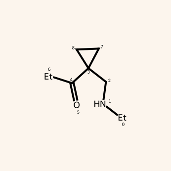 CCNCC1(C(=O)CC)CC1